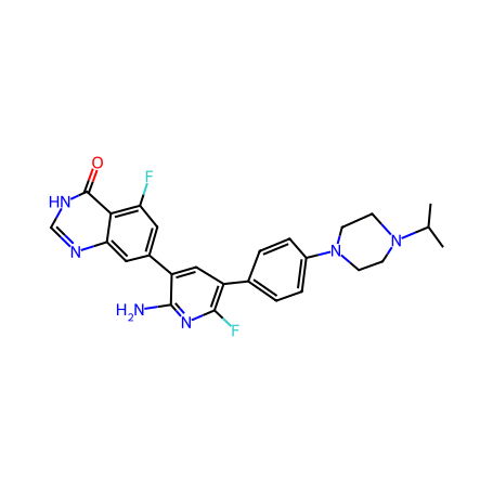 CC(C)N1CCN(c2ccc(-c3cc(-c4cc(F)c5c(=O)[nH]cnc5c4)c(N)nc3F)cc2)CC1